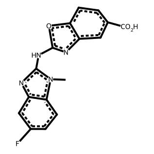 Cn1c(Nc2nc3cc(C(=O)O)ccc3o2)nc2cc(F)ccc21